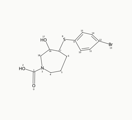 O=C(O)N1CCCC(Sc2ccc(Br)cc2)C(O)C1